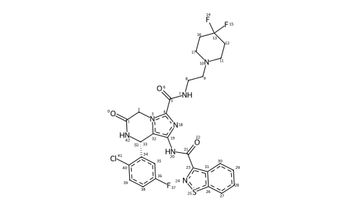 O=C1Cn2c(C(=O)NCCN3CCC(F)(F)CC3)nc(NC(=O)c3nsc4ccccc34)c2[C@H](c2cc(F)ccc2Cl)N1